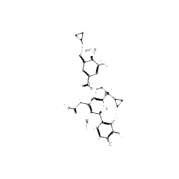 CCOc1c(CC(N)=O)cc([C@@](O)(CNC(=O)c2cc(Cl)c3nn(C4CC4)cc3c2)C2CC2)nc1-c1ccc(F)c(Cl)c1F